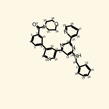 O=C(c1cccc(-c2cncc(-c3cc(NCc4ccccc4)nc(-c4ccccn4)n3)c2)c1)N1CCOCC1